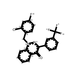 O=c1c(-c2cccc(C(F)(F)F)c2)nn(Cc2ccc(F)cc2Cl)c2ccccc12